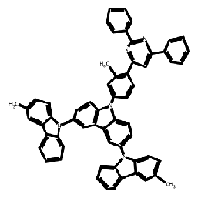 Cc1ccc2c(c1)c1ccccc1n2-c1ccc2c(c1)c1cc(-n3c4ccccc4c4cc(C)ccc43)ccc1n2-c1ccc(-c2cc(-c3ccccc3)nc(-c3ccccc3)n2)c(C)c1